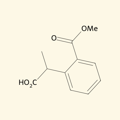 COC(=O)c1ccccc1C(C)C(=O)O